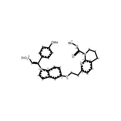 CCOC(=O)/C=C(\c1ccc(OC)cc1)n1ccc2cc(OCCc3ccc4c(n3)N(C(=O)OC(C)(C)C)CCC4)ccc21